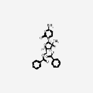 C[C@]1(F)[C@H](n2ccc(N)nc2=O)O[C@](F)(COC(=O)c2ccccc2)[C@H]1OC(=O)c1ccccc1